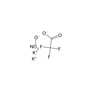 O=C([O-])C(F)(F)F.O=[N+]([O-])[O-].[K+].[K+]